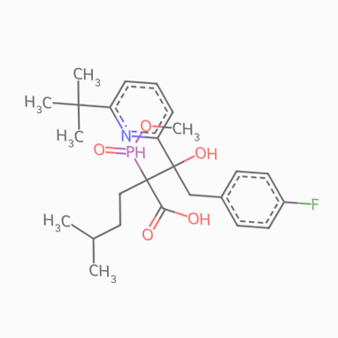 CO[PH](=O)C(CCC(C)C)(C(=O)O)C(O)(Cc1ccc(F)cc1)c1cccc(C(C)(C)C)n1